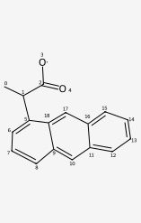 CC(C([O])=O)c1cccc2cc3ccccc3cc12